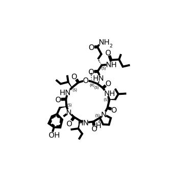 CCC(C)C(=O)N[C@@H](CCC(N)=O)C(=O)N[C@@H]1C(=O)N[C@@H](CC(C)C)C(=O)N2CCC[C@H]2C(=O)N[C@@H](C(C)CC)C(=O)N(C)[C@@H](Cc2ccc(O)cc2)C(=O)N[C@@H](C(C)CC)C(=O)O[C@@H]1C